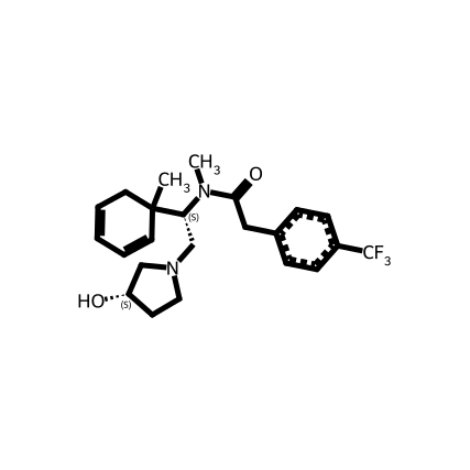 CN(C(=O)Cc1ccc(C(F)(F)F)cc1)[C@H](CN1CC[C@H](O)C1)C1(C)C=CC=CC1